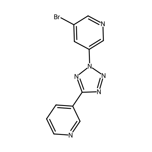 Brc1cncc(-n2nnc(-c3cccnc3)n2)c1